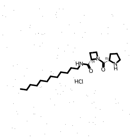 CCCCCCCCCCCCNC(=O)[C@@H]1CCN1C(=O)[C@@H]1CCCN1.Cl